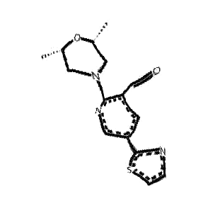 C[C@@H]1CN(c2ncc(-c3nccs3)cc2C=O)C[C@H](C)O1